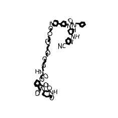 N#Cc1ccc(N[C@H]2CC[C@H](N(C(=O)NCc3ccccc3)c3ccc(-c4ccnc(OCCOCCOCCOCCOCCOCCNC(=O)COc5cccc6c5C(=O)N(C5CCC(=O)NC5=O)C6=O)c4)cc3)CC2)nc1